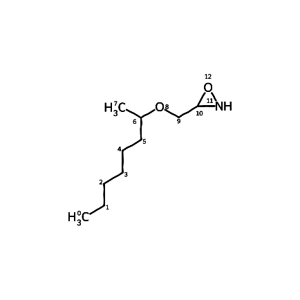 CCCCCCC(C)OCC1NO1